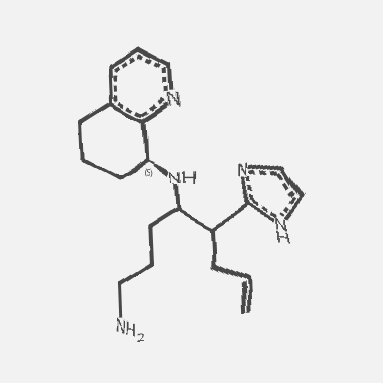 C=CCC(c1ncc[nH]1)C(CCCN)N[C@H]1CCCc2cccnc21